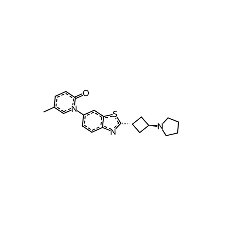 Cc1ccc(=O)n(-c2ccc3nc([C@H]4C[C@H](N5CCCC5)C4)sc3c2)c1